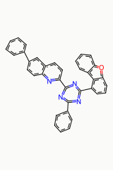 c1ccc(-c2ccc3nc(-c4nc(-c5ccccc5)nc(-c5cccc6oc7ccccc7c56)n4)ccc3c2)cc1